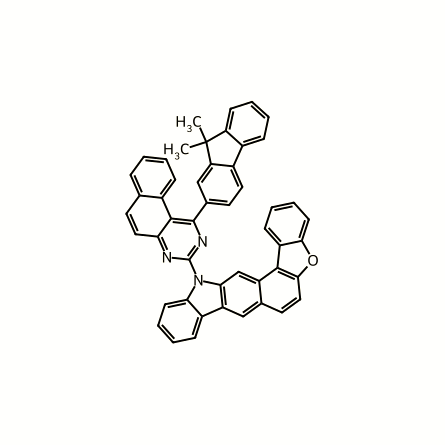 CC1(C)c2ccccc2-c2ccc(-c3nc(-n4c5ccccc5c5cc6ccc7oc8ccccc8c7c6cc54)nc4ccc5ccccc5c34)cc21